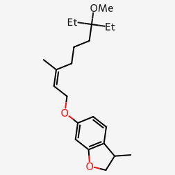 CCC(CC)(CCCC(C)=CCOc1ccc2c(c1)OCC2C)OC